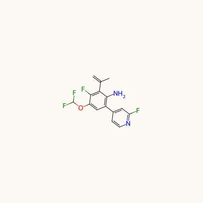 C=C(C)c1c(N)c(-c2ccnc(F)c2)cc(OC(F)F)c1F